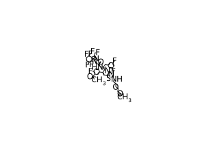 COCCOCCNc1nc2nc([C@H](Cc3cc(F)cc(F)c3)NC(=O)Cn3nc(C(F)F)c4c3C(F)(F)CCC4(F)F)c(-c3ccc(F)c(C(C)=O)c3)cc2s1